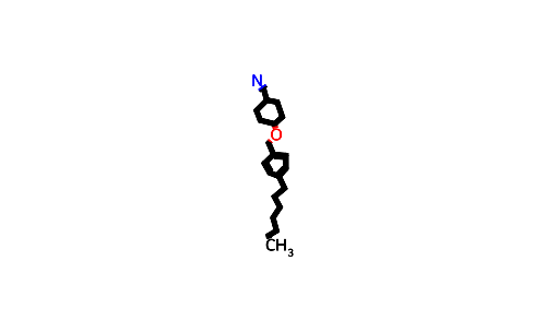 CCCCCCCc1ccc(COC2CCC(C#N)CC2)cc1